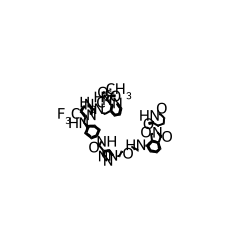 CN(c1ncccc1CNc1ncc(C(F)(F)F)c(Nc2ccc(NC(=O)c3cn(CCOCCNc4cccc5c4C(=O)N(C4CCC(=O)NC4=O)C5=O)nn3)cc2)n1)S(C)(=O)=O